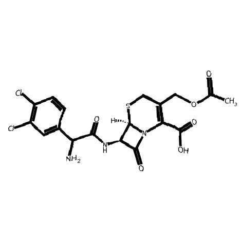 CC(=O)OCC1=C(C(=O)O)N2C(=O)[C@@H](NC(=O)C(N)c3ccc(Cl)c(Cl)c3)[C@H]2SC1